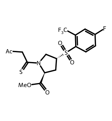 COC(=O)[C@@H]1C[C@@H](S(=O)(=O)c2ccc(F)cc2C(F)(F)F)CN1C(=S)CC(C)=O